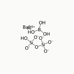 OB(O)O.[Al+3].[Ba+2].[O-][Si]([O-])([O-])O[Si]([O-])([O-])O